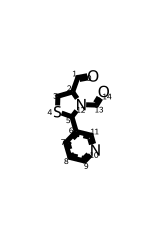 O=CC1CSC(c2cccnc2)N1C=O